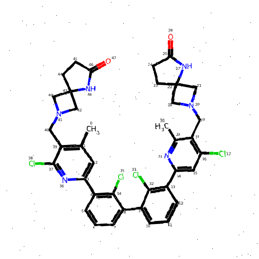 Cc1cc(-c2cccc(-c3cccc(-c4cc(Cl)c(CN5CC6(CCC(=O)N6)C5)c(C)n4)c3Cl)c2Cl)nc(Cl)c1CN1CC2(CCC(=O)N2)C1